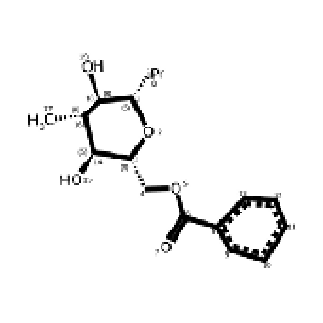 CC(C)[C@@H]1O[C@H](COC(=O)c2ccccc2)[C@@H](O)[C@H](C)[C@H]1O